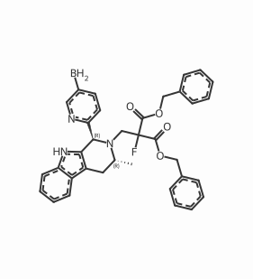 Bc1ccc([C@@H]2c3[nH]c4ccccc4c3C[C@@H](C)N2CC(F)(C(=O)OCc2ccccc2)C(=O)OCc2ccccc2)nc1